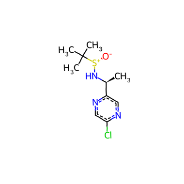 C[C@H](N[S@@+]([O-])C(C)(C)C)c1cnc(Cl)cn1